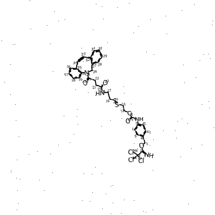 N=C(OCc1ccc(NC(=O)OCCSSCCNC(=O)CCC(=O)N2Cc3ccccc3C#Cc3ccccc32)cc1)C(Cl)(Cl)Cl